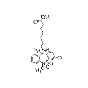 [2H]C1(NCCCCCCC(=O)O)c2ccccc2N(C)S(=O)(=O)c2cc(Cl)ccc21